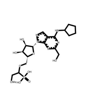 COCC(OC[C@H]1O[C@@H](n2ncc3c(NC4CCCC4)nc(CO)nc32)[C@H](O)[C@@H]1O)P(=O)(O)O